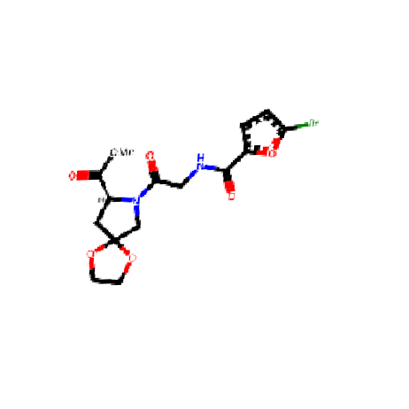 COC(=O)[C@@H]1CC2(CN1C(=O)CNC(=O)c1ccc(Br)o1)OCCO2